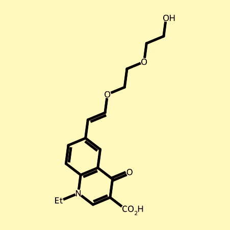 CCn1cc(C(=O)O)c(=O)c2cc(C=COCCOCCO)ccc21